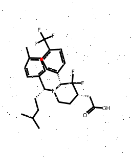 Cc1ccc([C@@H](CCC(C)C)N2CC[C@@H](CC(=O)O)C(F)(F)[C@H]2c2ccc(C(F)(F)F)cc2)cc1